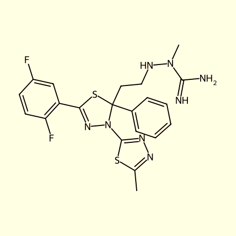 Cc1nnc(N2N=C(c3cc(F)ccc3F)SC2(CCNN(C)C(=N)N)c2ccccc2)s1